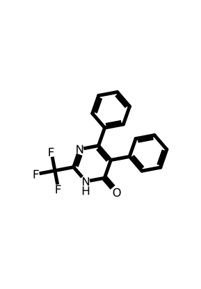 O=c1[nH]c(C(F)(F)F)nc(-c2ccccc2)c1-c1ccccc1